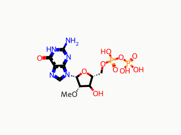 CO[C@H]1C(O)[C@@H](COP(=O)(O)OP(=O)(O)O)O[C@H]1n1cnc2c(=O)[nH]c(N)nc21